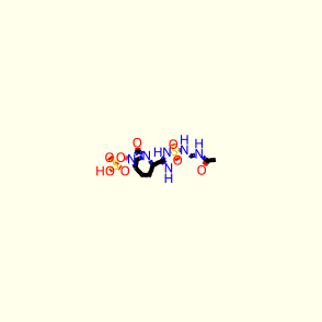 CC(=O)NCNS(=O)(=O)NC(=N)C1CCC2CN1C(=O)N2OS(=O)(=O)O